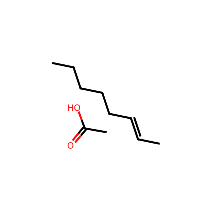 C/C=C/CCCCC.CC(=O)O